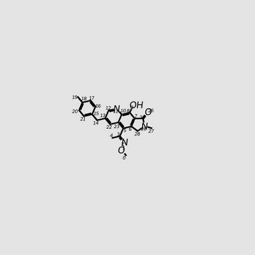 CO/N=C(\C)c1c2c(c(O)c3ncc(Cc4ccc(C)cc4)cc13)C(=O)N(C)C2